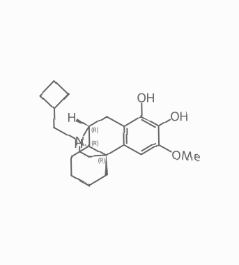 COc1cc2c(c(O)c1O)C[C@@H]1[C@@H]3CCCC[C@]23CCN1CC1CCC1